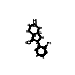 O=C1C(c2ccccc2F)CC2CNCCC12